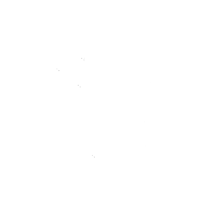 c1ccc(-c2ccc(-c3nc(-c4ccccc4)nc(-c4cccc(-c5cccc(-n6c7ccccc7c7c8sc9ccccc9c8ccc76)c5)c4)n3)c(-c3ccccc3)c2)cc1